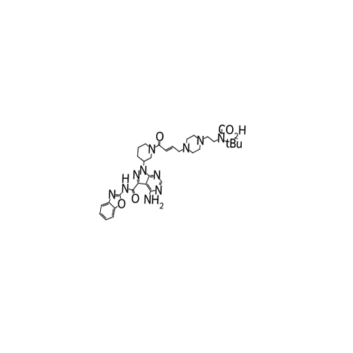 CC(C)(C)N(CCN1CCN(CC=CC(=O)N2CCCC(n3nc(C(=O)Nc4nc5ccccc5o4)c4c(N)ncnc43)C2)CC1)C(=O)O